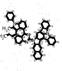 C=C/C=C\c1c(C)n(-c2ccccc2)c2cccc(-c3nc(-n4c5cc6ccccc6cc5c5c6c7ccccc7n7c8ccccc8c(cc54)c67)nc4ccccc34)c12